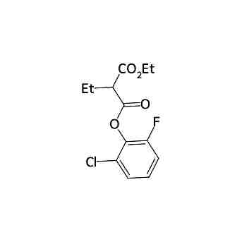 CCOC(=O)C(CC)C(=O)Oc1c(F)cccc1Cl